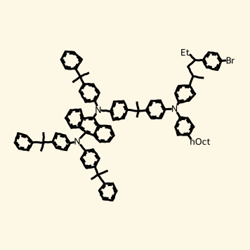 CCCCCCCCc1ccc(N(c2ccc(C(C)CC(CC)c3ccc(Br)cc3)cc2)c2ccc(C(C)(C)c3ccc(N(c4ccc(C(C)(C)c5ccccc5)cc4)c4c5ccccc5c(N(c5ccc(C(C)(C)c6ccccc6)cc5)c5ccc(C(C)(C)c6ccccc6)cc5)c5ccccc45)cc3)cc2)cc1